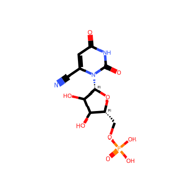 N#Cc1cc(=O)[nH]c(=O)n1[C@@H]1O[C@H](COP(=O)(O)O)C(O)C1O